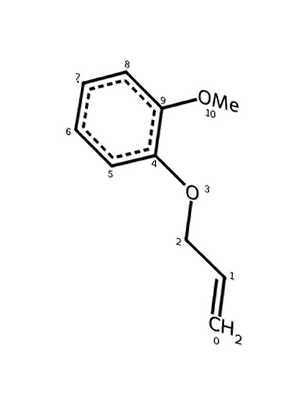 C=CCOc1cc[c]cc1OC